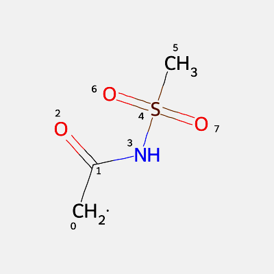 [CH2]C(=O)NS(C)(=O)=O